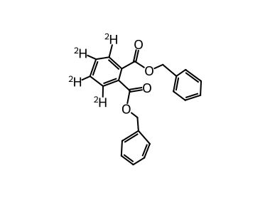 [2H]c1c([2H])c([2H])c(C(=O)OCc2ccccc2)c(C(=O)OCc2ccccc2)c1[2H]